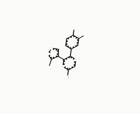 Cc1sncc1-c1nc(N)cnc1-c1ccc(O)c(Cl)c1